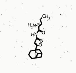 CCC[C@H](N)C(=O)Nc1cc(C23CCCC4(CC(C4)C2)C3)on1